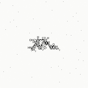 C[C@H](CC(=O)O)NC(=O)[C@H](CC(=O)O)NC(=O)[C@H](CCCNC(=N)N)NC(=O)[C@H](CC=O)NC(=O)CC[C@H](NC(=O)c1ccc(NCc2cnc3nc(N)[nH]c(=O)c3n2)cc1)C(=O)O